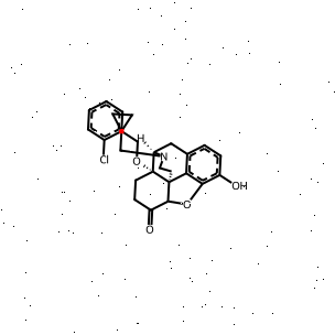 O=C1CC[C@@]2(OCc3ccccc3Cl)[C@H]3Cc4ccc(O)c5c4[C@@]2(CCN3CC2CC2)C1O5